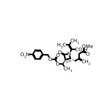 C=C(CC(=O)OC)C[C@@H]1[C@@H](C(C)OC(=O)OCc2ccc([N+](=O)[O-])cc2)C(=O)N1C(C(=O)O)=C(C)C